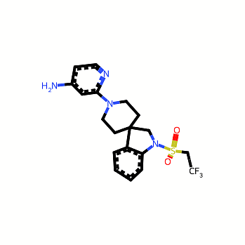 Nc1ccnc(N2CCC3(CC2)CN(S(=O)(=O)CC(F)(F)F)c2ccccc23)c1